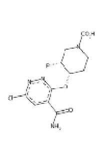 NC(=O)c1cc(Cl)nnc1O[C@H]1CCN(C(=O)O)C[C@H]1F